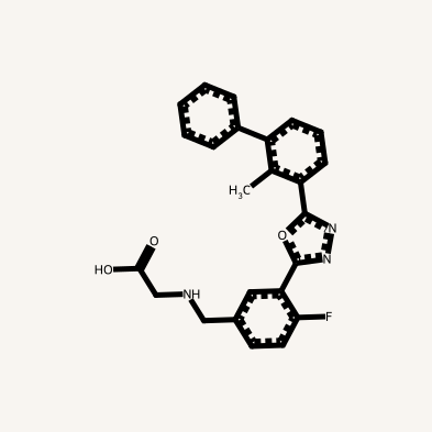 Cc1c(-c2ccccc2)cccc1-c1nnc(-c2cc(CNCC(=O)O)ccc2F)o1